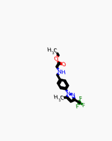 CCOC(=O)CNCc1ccc(-n2nc(C(F)(F)F)cc2C)cc1